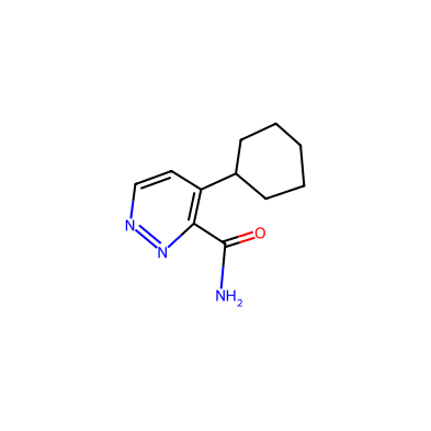 NC(=O)c1nnccc1C1CCCCC1